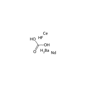 F.O=C(O)O.[BaH2].[Ce].[Nd]